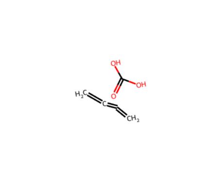 C=C=C=C.O=C(O)O